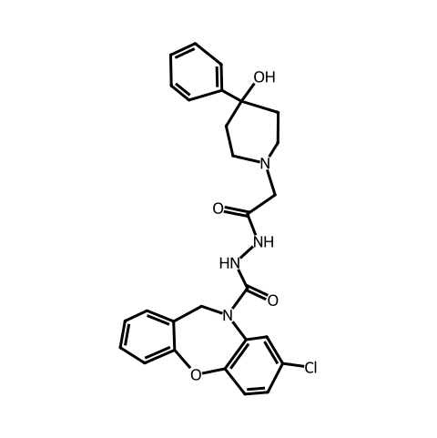 O=C(CN1CCC(O)(c2ccccc2)CC1)NNC(=O)N1Cc2ccccc2Oc2ccc(Cl)cc21